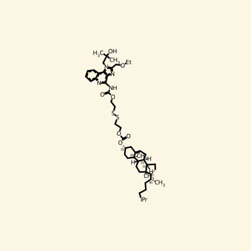 CCOCc1nc2c(NC(=O)OCCSSCCOC(=O)O[C@H]3CC[C@@]4(C)C(=CC[C@H]5[C@@H]6CC[C@H]([C@H](C)CCCC(C)C)[C@@]6(C)CC[C@@H]54)C3)nc3ccccc3c2n1CC(C)(C)O